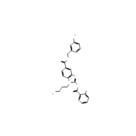 COCCCn1c(NC(=O)c2ccccc2Cl)nc2cc(C(=O)NCc3cccc(OC)c3)ccc21